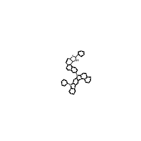 C1=CC2SC(c3ccccc3)NC2c2c1ccc1cc(-n3c4cc5c(cc4c4c6ccccc6ccc43)c3ccccc3n5-c3ccccc3)ccc21